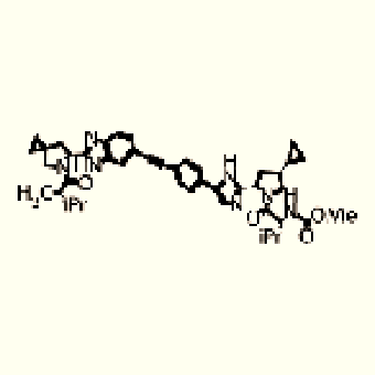 COC(=O)N[C@H](C(=O)N1C[C@@H](C2CC2)C[C@H]1c1ncc(-c2ccc(C#Cc3ccc4nc([C@@H]5CC6(CC6)CN5C(=O)[C@@H](C)C(C)C)[nH]c4c3)cc2)[nH]1)C(C)C